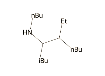 [CH2]C(CC)C(NCCCC)C(CC)CCCC